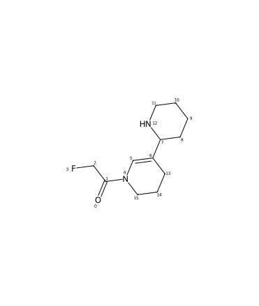 O=C(CF)N1C=C(C2CCCCN2)CCC1